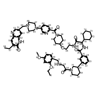 CCOc1cc(OC)ccc1CNCC(=O)N1CCCC(c2cccc(C(=O)N[C@@H](C(=O)NCCOC3CCN(C(=O)c4ccc(N5CCN(Cc6cnc7cc(CC)c(=O)[nH]c7c6)CC5)cn4)CC3)C3CCCCC3)c2)C1